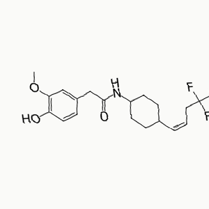 COc1cc(CC(=O)NC2CCC(/C=C\CC(F)(F)F)CC2)ccc1O